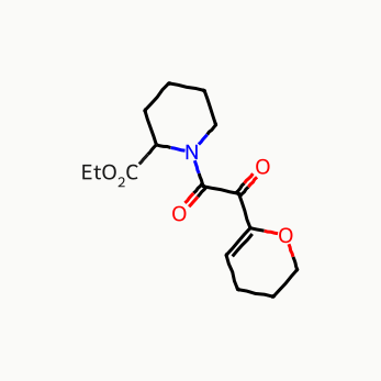 CCOC(=O)C1CCCCN1C(=O)C(=O)C1=CCCCO1